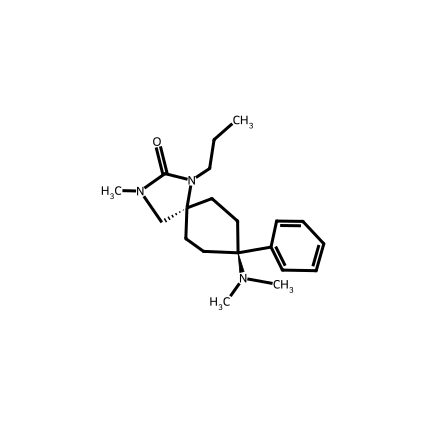 CCCN1C(=O)N(C)C[C@]12CC[C@](c1ccccc1)(N(C)C)CC2